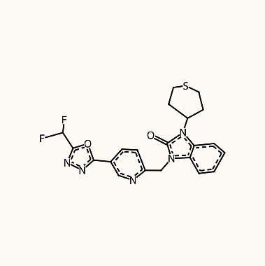 O=c1n(Cc2ccc(-c3nnc(C(F)F)o3)cn2)c2ccccc2n1C1CCSCC1